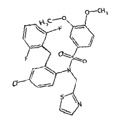 COc1ccc(S(=O)(=O)N(Cc2nccs2)c2ccc(Cl)cc2Cc2c(F)cccc2F)cc1OC